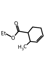 CCOC(=O)C1CCC=CC1C